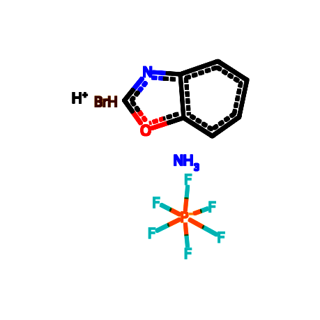 Br.F[P-](F)(F)(F)(F)F.N.[H+].c1ccc2ocnc2c1